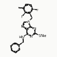 CSc1nc(NCc2ccccc2)c2ncn(Cc3c(F)ccc(C)c3F)c2n1